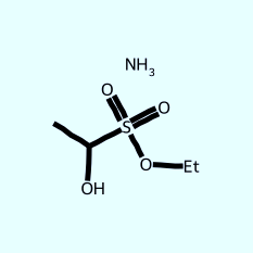 CCOS(=O)(=O)C(C)O.N